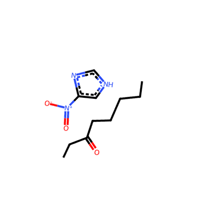 CCCCCC(=O)CC.O=[N+]([O-])c1c[nH]cn1